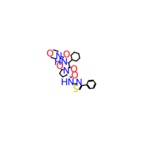 O=C(Nc1nc(-c2ccccc2)cs1)[C@@H]1CCC(=O)N1C(=O)[C@H](NC(=O)N1CCOCC1)C1CCCCC1